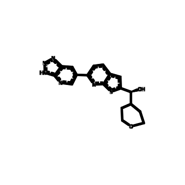 O[C@H](c1cc2ccc(-c3cnc4[nH]nnc4c3)nc2s1)C1CCOCC1